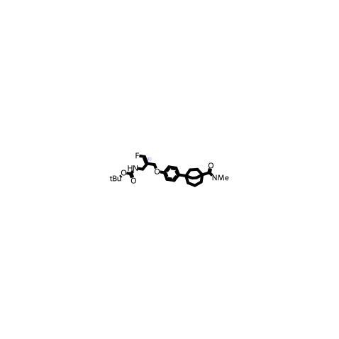 CNC(=O)C12CCCC(c3ccc(OC/C(=C/F)CNC(=O)OC(C)(C)C)cc3)(CC1)CC2